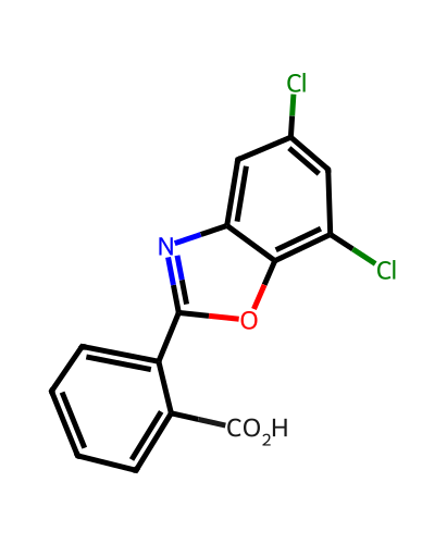 O=C(O)c1ccccc1-c1nc2cc(Cl)cc(Cl)c2o1